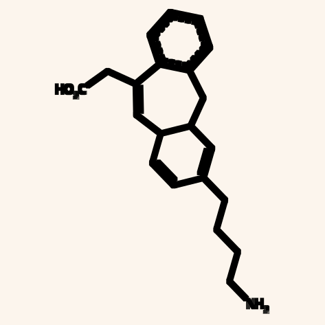 NCCCCC1=CC2Cc3ccccc3C(CC(=O)O)=CC2C=C1